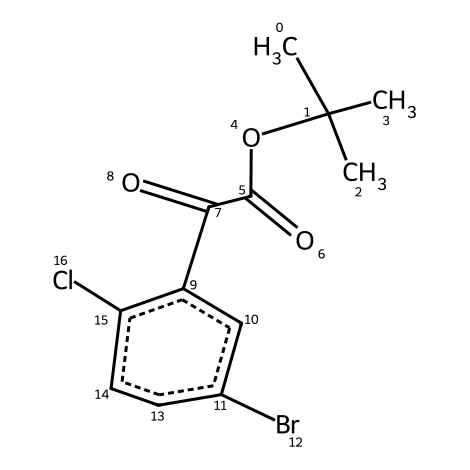 CC(C)(C)OC(=O)C(=O)c1cc(Br)ccc1Cl